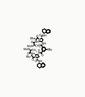 CN[C@@H](C)C(=O)N[C@H](C(=O)N1C[C@@H](NC(=O)c2cc(C(=O)N[C@H]3C[C@@H](C(=O)N[C@@H]4CCCc5ccccc54)N(C(=O)[C@@H](NC(=O)[C@H](C)NC)C(C)(C)C)C3)cc(C(C)(C)C)c2)C[C@H]1C(=O)N[C@@H]1CCCc2ccccc21)C(C)(C)C